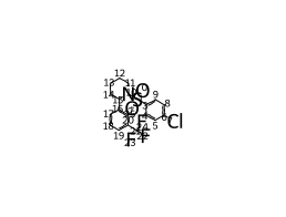 O=S(=O)(c1ccc(Cl)cc1)N1CCCCC1c1cccc(C(F)(F)F)c1